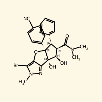 CN(C)C(=O)[C@H]1[C@@H](O)[C@@]2(O)c3nn(C)c(Br)c3O[C@@]2(c2ccc(C#N)cc2)[C@@H]1c1ccccc1